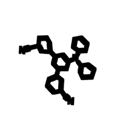 N#Cc1cccc(-c2cc(-c3cccc(C#N)c3)cc(N(c3ccccc3)c3ccccc3)c2)c1